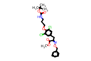 COC(=O)/C(Cc1cc(Cl)c(OCCCNC(=O)OC(C)(C)C)c(Cl)c1)=N\OCc1ccccc1